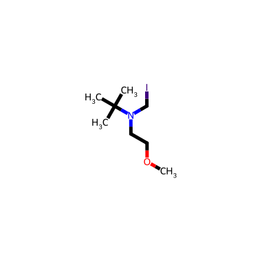 COCCN(CI)C(C)(C)C